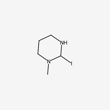 CN1CCCNC1I